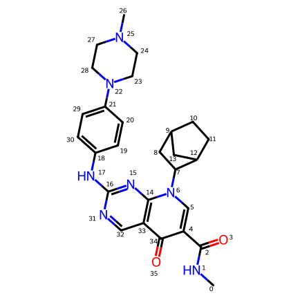 CNC(=O)c1cn(C2CC3CCC2C3)c2nc(Nc3ccc(N4CCN(C)CC4)cc3)ncc2c1=O